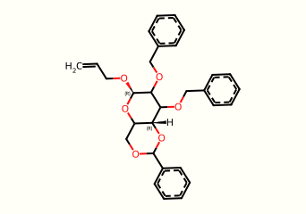 C=CCO[C@@H]1OC2COC(c3ccccc3)O[C@H]2C(OCc2ccccc2)C1OCc1ccccc1